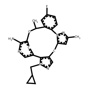 Cc1cc2n(n1)-c1ccc(F)cc1C(C)Oc1cc(cnc1N)-c1c(cnn1CC1CC1)C2